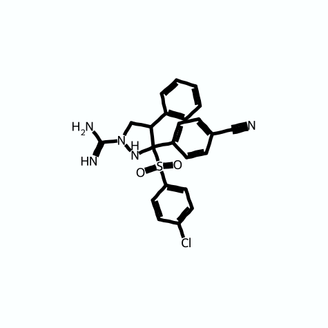 N#Cc1ccc(C2(S(=O)(=O)c3ccc(Cl)cc3)NN(C(=N)N)CC2c2ccccc2)cc1